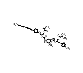 C=C(C)C(=O)OCC(COc1ccc(C#CC#CC#CC#CC)cc1)OC(=O)NC1CC2(C)CN(C(=O)OC(COC(=O)C(=C)C)COc3ccc(C)cc3)C(C)(C1)C2